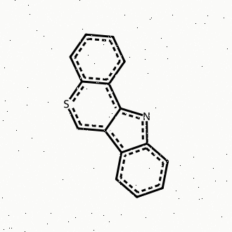 c1ccc2c3csc4ccccc4c-3nc2c1